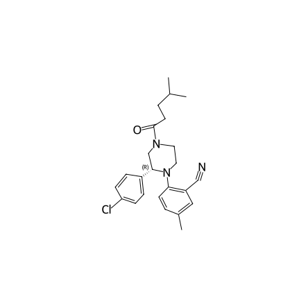 Cc1ccc(N2CCN(C(=O)CCC(C)C)C[C@H]2c2ccc(Cl)cc2)c(C#N)c1